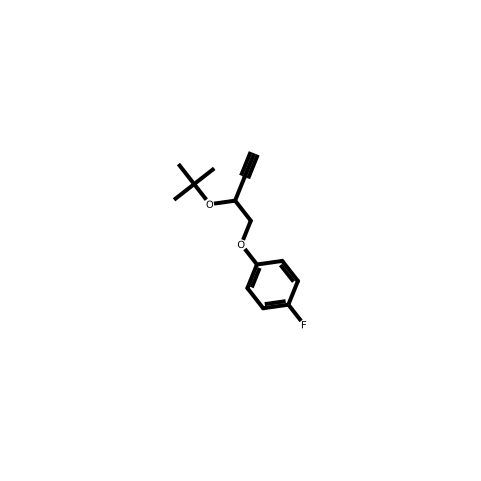 C#CC(COc1ccc(F)cc1)OC(C)(C)C